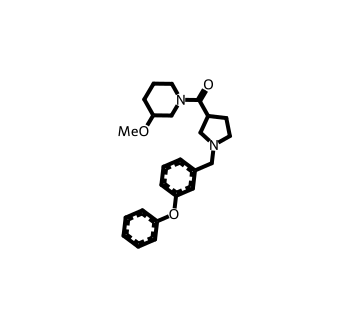 COC1CCCN(C(=O)C2CCN(Cc3cccc(Oc4ccccc4)c3)C2)C1